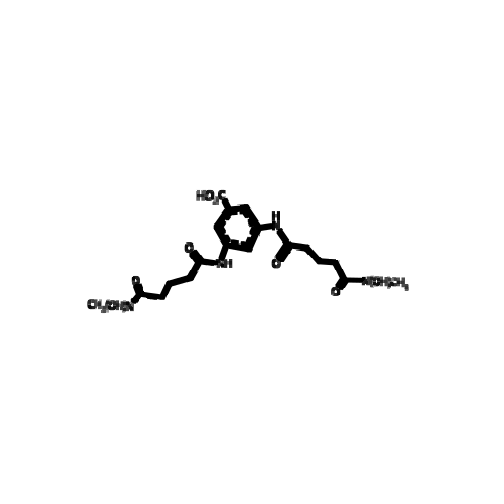 CN(O)C(=O)CCCC(=O)Nc1cc(NC(=O)CCCC(=O)N(C)O)cc(C(=O)O)c1